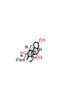 CCC[C@@H](C)[C@H]1CC[C@H]2[C@@H]3[C@H](O)C[C@@H]4C[C@H](O)C[CH][C@]4(C)[C@H]3C[C@H](O)[C@]12C